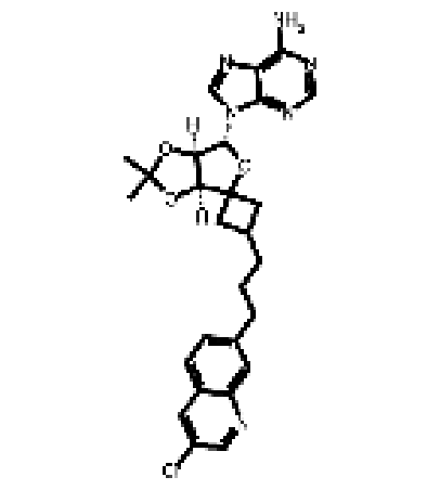 CC1(C)O[C@H]2[C@H](n3cnc4c(N)ncnc43)OC3(CC(CCCc4ccc5cc(Cl)cnc5c4)C3)[C@H]2O1